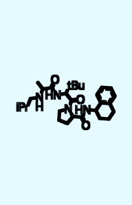 CC(C)CNC(C)C(=O)NC(C(=O)N1CCCC1C(=O)NC1CCCc2ccccc21)C(C)(C)C